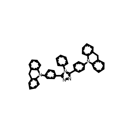 c1ccc(-n2c(-c3ccc(N4c5ccccc5Cc5ccccc54)cc3)nnc2-c2ccc(N3c4ccccc4Cc4ccccc43)cc2)cc1